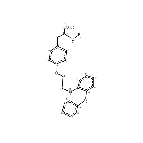 CCOC(=O)[C@H](Cc1ccc(OCCN2c3ccccc3Oc3ccccc32)cc1)OCC